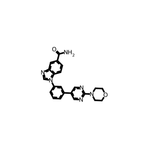 NC(=O)c1ccc2c(c1)ncn2-c1cccc(-c2cnc(N3CCOCC3)nc2)c1